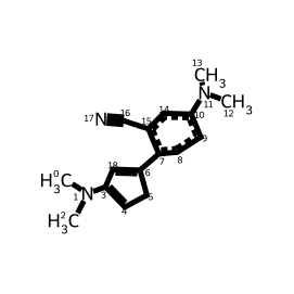 CN(C)C1=CCC(c2ccc(N(C)C)cc2C#N)=C1